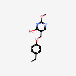 CCc1ccc(OCc2cnc(OC)nc2O)cc1